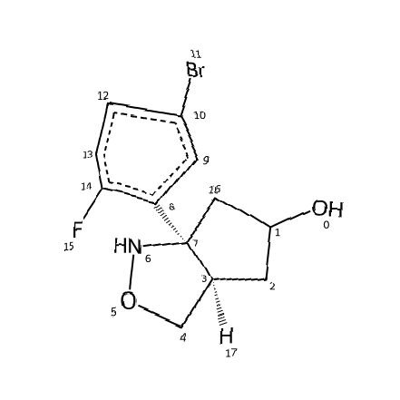 OC1C[C@H]2CON[C@@]2(c2cc(Br)ccc2F)C1